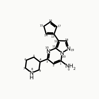 Nc1cc(C2CCCNC2)nc2c(C3=CCC=C3)cnn12